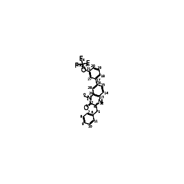 Cn1c(=O)c(Cc2ccccc2)nc2ccc(-c3cccc(OC(F)(F)F)c3)cc21